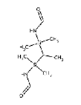 CC([Si](C)(C)NC=O)[Si](C)(C)NC=O